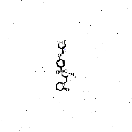 CC(CN1CCCCC1=O)CS(=O)(=O)c1ccc(OC/C(=C/F)CN)cc1